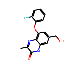 Cc1nc2c(Oc3ccccc3F)cc(CO)cc2[nH]c1=O